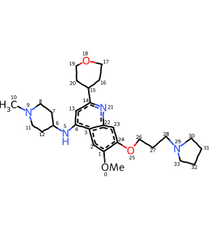 COc1cc2c(NC3CCN(C)CC3)cc(C3CCOCC3)nc2cc1OCCCN1CCCC1